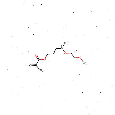 C=C(C)C(=O)OCCC[SiH](C)OCCOC